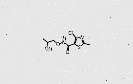 Cc1nc(Cl)c(C(=O)NOCC(C)O)s1